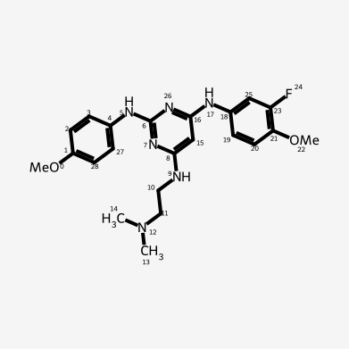 COc1ccc(Nc2nc(NCCN(C)C)cc(Nc3ccc(OC)c(F)c3)n2)cc1